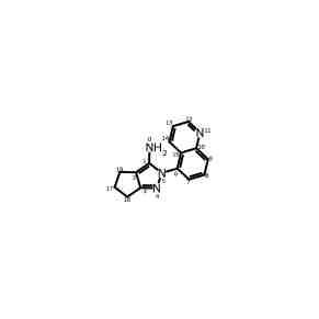 Nc1c2c(nn1-c1cccc3ncccc13)CCC2